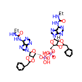 CCNC(=O)Nc1ncnc2c1ncn2[C@@H]1O[C@H](COP(=O)(O)OP(=O)(O)OC[C@H]2O[C@@H](n3cnc4c(NC(=O)NCC)ncnc43)[C@H]3OC(Cc4ccccc4)OC23)C2OC(Cc3ccccc3)OC21